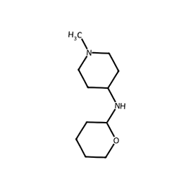 CN1CCC(NC2CCCCO2)CC1